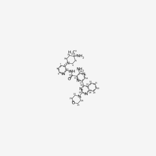 CC1(N)CCN(c2cccnc2NC(=O)c2nc(-c3nc(N4CCOCC4)nc4ccccc34)cnc2N)CC1